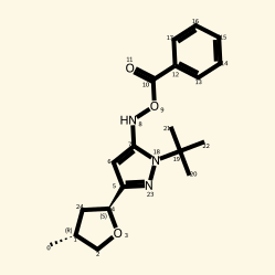 C[C@H]1CO[C@H](c2cc(NOC(=O)c3ccccc3)n(C(C)(C)C)n2)C1